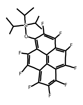 CC(C)[Si](Oc1c(F)c(F)c2c(F)c(F)c3c(F)c(F)c(F)c4c(F)c(F)c1c2c34)(C(C)C)C(C)C